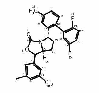 Cc1cc(C2OC(=O)N3[C@H](c4cc(C(F)(F)F)ccc4-c4cc(F)ccc4F)CC[C@@H]23)cc(C(F)(F)F)c1